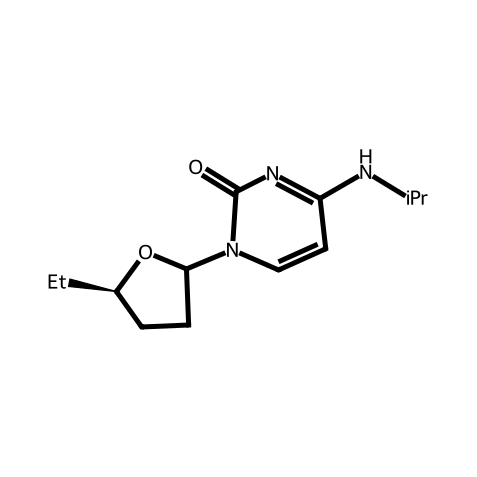 CC[C@@H]1CCC(n2ccc(NC(C)C)nc2=O)O1